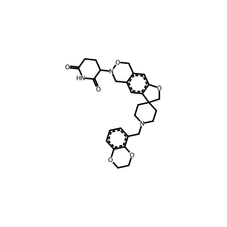 O=C1CCC(N2Cc3cc4c(cc3CO2)OCC42CCN(Cc3cccc4c3OCCO4)CC2)C(=O)N1